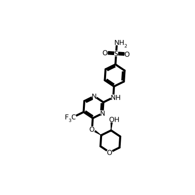 NS(=O)(=O)c1ccc(Nc2ncc(C(F)(F)F)c(O[C@@H]3COCC[C@@H]3O)n2)cc1